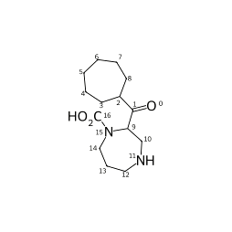 O=C(C1CCCCCC1)C1CNCCCN1C(=O)O